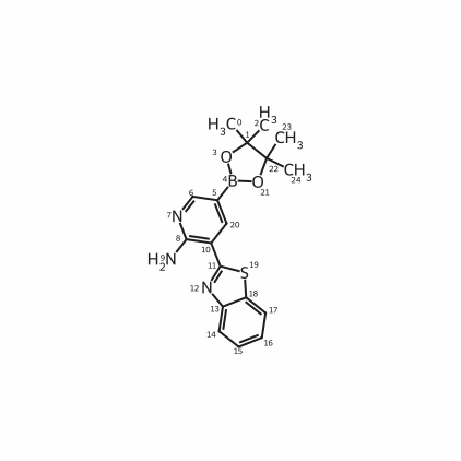 CC1(C)OB(c2cnc(N)c(-c3nc4ccccc4s3)c2)OC1(C)C